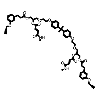 C#CCOc1cccc(CCC(=O)OCC(COCCOc2ccc(C(C)(C)c3ccc(OCCOCC(COC(=O)CCc4cccc(OCC#C)c4)OC(=O)/C=C/C(=O)NC)cc3)cc2)OC(=O)/C=C/C(=O)NC)c1